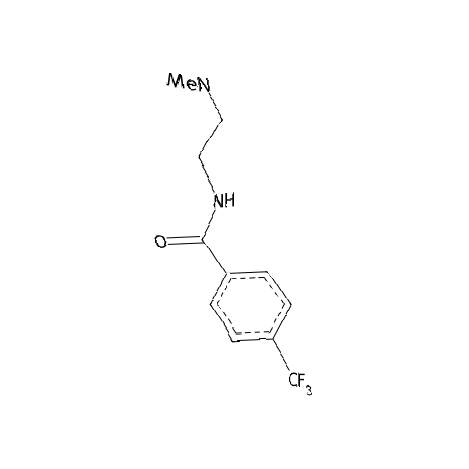 CNCCNC(=O)c1ccc(C(F)(F)F)cc1